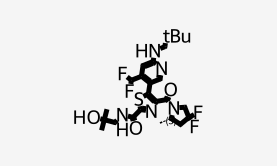 C[C@H]1CC(F)(F)CN1C(=O)c1nc(C(=O)NCC(C)(C)O)sc1-c1cnc(NCC(C)(C)C)cc1C(F)F